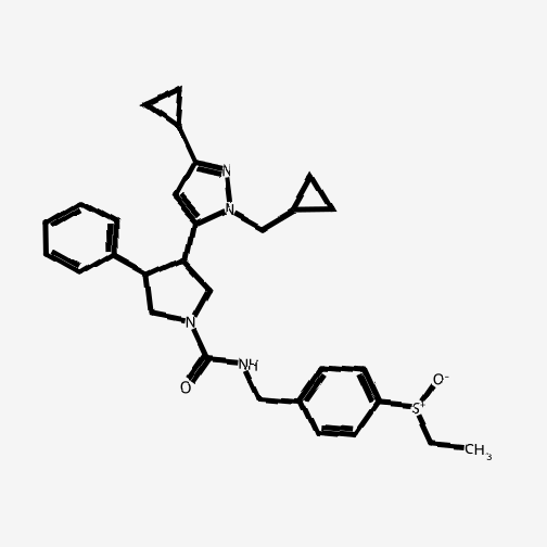 CC[S+]([O-])c1ccc(CNC(=O)N2CC(c3ccccc3)C(c3cc(C4CC4)nn3CC3CC3)C2)cc1